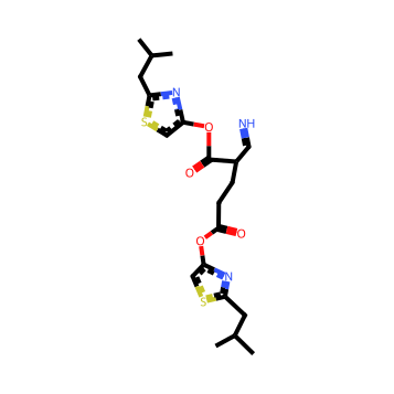 CC(C)Cc1nc(OC(=O)CCC(C=N)C(=O)Oc2csc(CC(C)C)n2)cs1